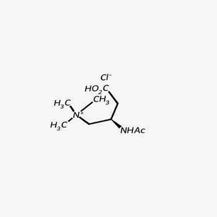 CC(=O)N[C@H](CC(=O)O)C[N+](C)(C)C.[Cl-]